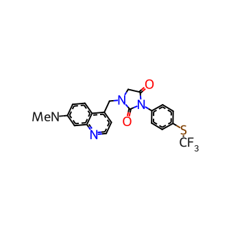 CNc1ccc2c(CN3CC(=O)N(c4ccc(SC(F)(F)F)cc4)C3=O)ccnc2c1